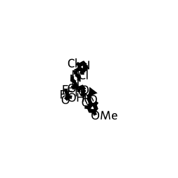 COc1cc(C)c(S(=O)(=O)N(Cc2nc(C(=O)N3CCN(Cc4c(Cl)cncc4Cl)CC3)co2)C2CC2)c(C)c1.O=C(O)C(F)(F)F